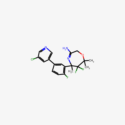 CC1(C)OCC(N)=NC(C)(c2cc(-c3cncc(Cl)c3)ccc2F)C1(F)F